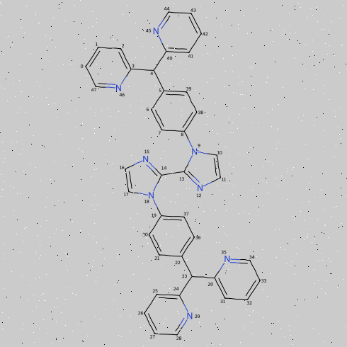 c1ccc(C(c2ccc(-n3ccnc3-c3nccn3-c3ccc(C(c4ccccn4)c4ccccn4)cc3)cc2)c2ccccn2)nc1